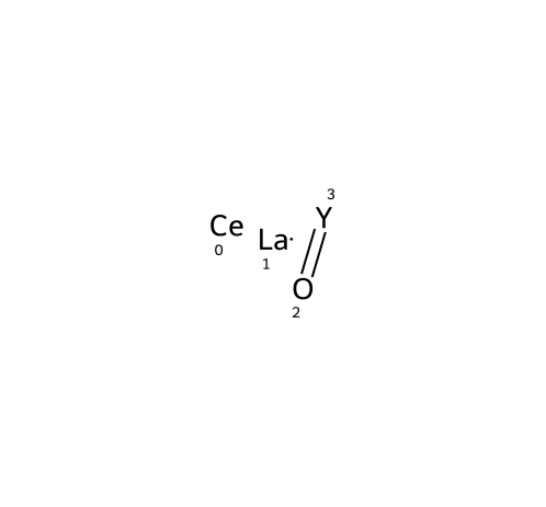 [Ce].[La].[O]=[Y]